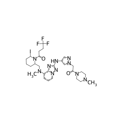 CN1CCN(C(=O)Cn2cc(Nc3nc4c(N(C)CC5CCCC(I)N5C(=O)CCC(F)(F)F)cccn4n3)cn2)CC1